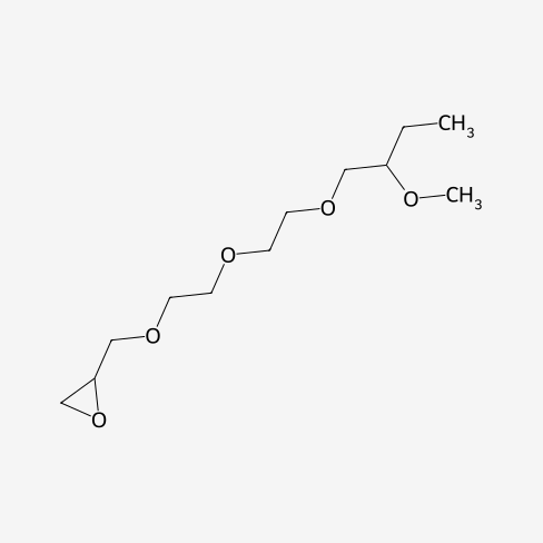 CCC(COCCOCCOCC1CO1)OC